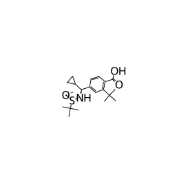 CC(C)(C)c1cc([C@@H](N[S@+]([O-])C(C)(C)C)C2CC2)ccc1C(=O)O